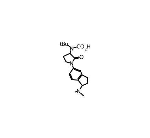 CN(C)C1CCc2cc(N3CCC(N(C(=O)O)C(C)(C)C)C3=O)ccc21